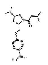 CC(C)CC(=O)N1C[C@H](N(C)C)C[C@H]1COc1ccc(C(=O)O)cc1